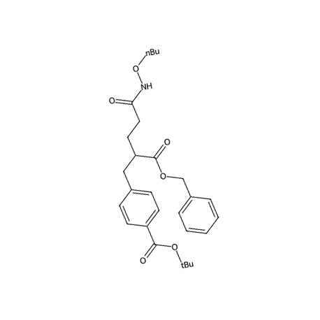 CCCCONC(=O)CCC(Cc1ccc(C(=O)OC(C)(C)C)cc1)C(=O)OCc1ccccc1